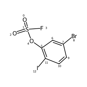 O=S(=O)(F)Oc1cc(Br)ccc1I